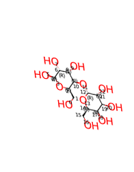 OC[C@H]1O[C@@H](O)[C@H](O)[C@H](O)[C@H]1O[C@H]1O[C@H](CO)[C@H](O)C(O)[C@H]1O